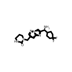 N[C@H](c1cn2ncc(CN3CCCNC3=O)cc2n1)C1CCC(F)(F)CC1